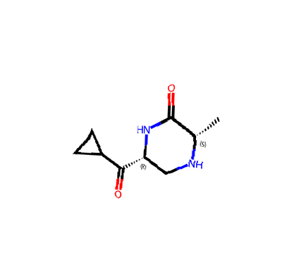 C[C@@H]1NC[C@H](C(=O)C2CC2)NC1=O